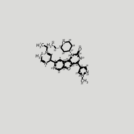 C/C=N\C(/C=N/CC)c1cc2c(cn1)oc1c(-c3cnn(C)c3)nc(=O)n([C@H]3CCO[C@@H](CC)C3)c12